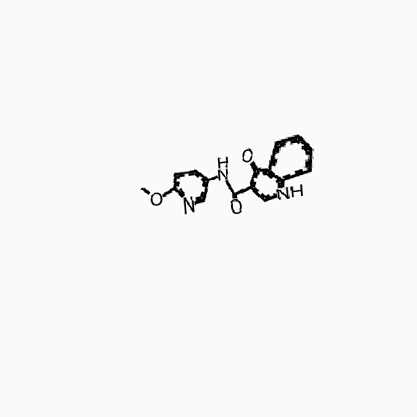 COc1ccc(NC(=O)c2c[nH]c3ccccc3c2=O)cn1